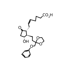 O=C(O)CCC/C=C\C[C@H]1C(=O)C[C@@H](O)[C@@H]1CCC1(COc2ccccc2)OCCO1